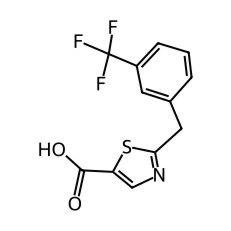 O=C(O)c1cnc(Cc2cccc(C(F)(F)F)c2)s1